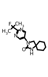 CC(C)(F)c1ncc(N2CC3(CCCCC3)NC2=O)cn1